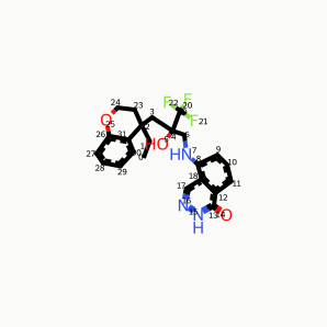 CCC1(CC(O)(CNc2cccc3c(=O)[nH]ncc23)C(F)(F)F)CCOc2ccccc21